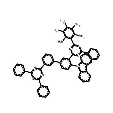 Bc1c(B)c(B)c(-c2nc(-c3ccccc3)nc(-c3cc(-c4cccc(-c5nc(-c6ccccc6)nc(-c6ccccc6)n5)c4)ccc3-n3c4ccccc4c4ccccc43)n2)c(B)c1B